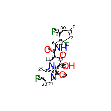 Cc1cc(F)c(CNC(=O)c2cn3c(c(O)c2=O)C(=O)N2CC=C(F)CC3C2)c(F)c1